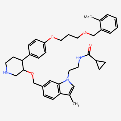 COc1ccccc1COCCCOc1ccc(C2CCNCC2OCc2ccc3c(C)cn(CCNC(=O)C4CC4)c3c2)cc1